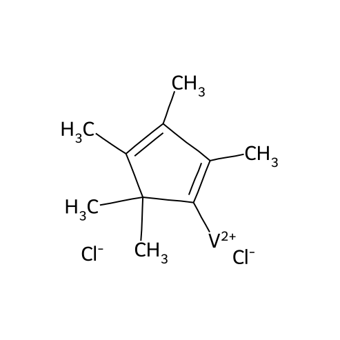 CC1=C(C)C(C)(C)[C]([V+2])=C1C.[Cl-].[Cl-]